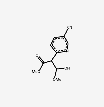 COC(=O)C(c1ccc(C#N)cn1)C(O)OC